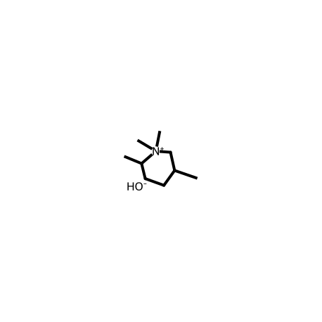 CC1CCC(C)[N+](C)(C)C1.[OH-]